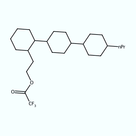 CCCC1CCC(C2CCC(C3CCCCC3CCOC(=O)C(F)(F)F)CC2)CC1